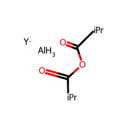 CC(C)C(=O)OC(=O)C(C)C.[AlH3].[Y]